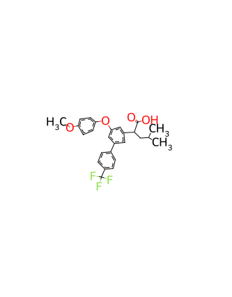 COc1ccc(Oc2cc(-c3ccc(C(F)(F)F)cc3)cc(C(CC(C)C)C(=O)O)c2)cc1